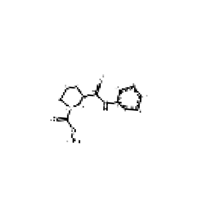 CC(C)(C)OC(=O)N1CCCC(C(=O)Nc2ccccc2)C1